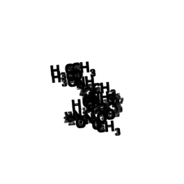 COC(=O)c1nc(C(=O)NC23CC(C2)C3)ccc1-c1cc2c(cc1C(=O)Nc1c(C)cc(CNC(=O)OC(C)(C)C)cc1C)-c1sccc1CCO2